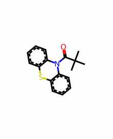 CC(C)(C)C(=O)N1c2ccccc2Sc2ccccc21